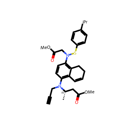 C#CCN(c1ccc(N(CC(=O)OC)Sc2ccc(C(C)C)cc2)c2c1C=CCC2)[C@@H](C)CC(=O)OC